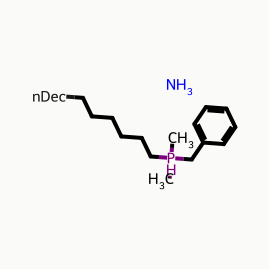 CCCCCCCCCCCCCCCC[PH](C)(C)Cc1ccccc1.N